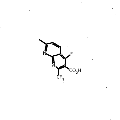 Cc1ccc2c(F)c(C(=O)O)c(C(F)(F)F)nc2n1